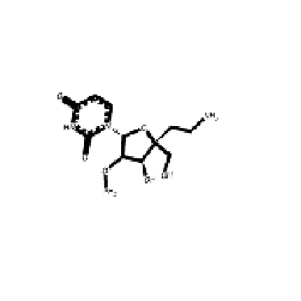 NCC[C@]1(CO)O[C@@H](n2ccc(=O)[nH]c2=O)C(OP)[C@@H]1O